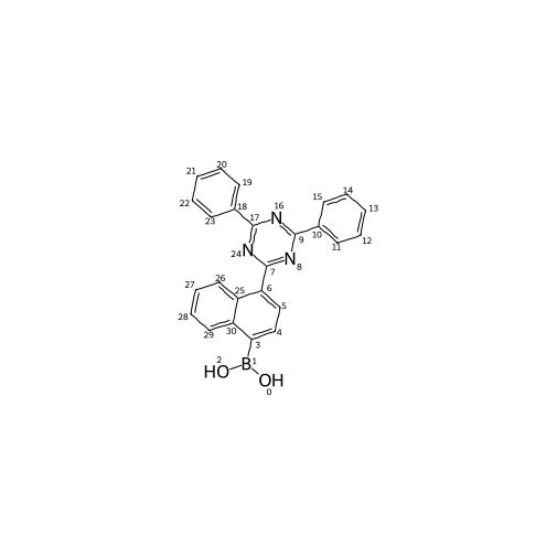 OB(O)c1ccc(-c2nc(-c3ccccc3)nc(-c3ccccc3)n2)c2ccccc12